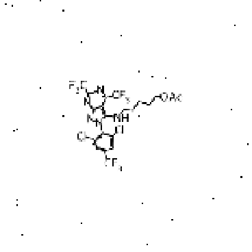 CC(=O)OCCCCCNc1c2c(C(F)(F)F)nc(C(F)(F)F)nc2nn1-c1c(Cl)cc(C(F)(F)F)cc1Cl